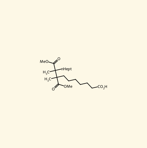 CCCCCCCC(C)(C(=O)OC)C(C)(CCCCCCC(=O)O)C(=O)OC